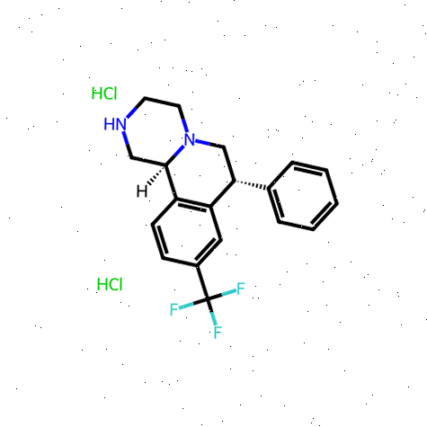 Cl.Cl.FC(F)(F)c1ccc2c(c1)[C@@H](c1ccccc1)CN1CCNC[C@H]21